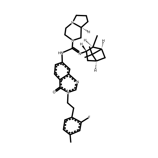 Cc1ccc(CCn2cnc3cc(NC(=N[C@H]4C[C@@H]5C[C@H]([C@@H]4C)C5(C)C)N4CCN5CCC[C@H]5C4)ccc3c2=O)c(F)c1